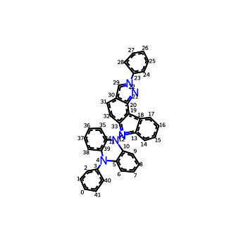 c1ccc(N2c3ccccc3N(n3c4ccccc4c4c5nn(-c6ccccc6)cc5ccc43)c3ccccc32)cc1